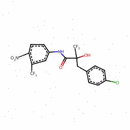 O=C(Nc1ccc([N+](=O)[O-])c(C(F)(F)F)c1)C(O)(Cc1ccc(Cl)cc1)C(F)(F)F